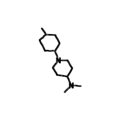 CC1CCC(N2CCC(N(C)C)CC2)CC1